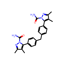 Cc1nn(C(N)=O)c(-c2ccc(Cc3ccc(-c4c(C)c(C)nn4C(N)=O)cc3)cc2)c1C